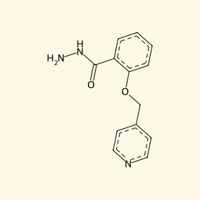 NNC(=O)c1ccccc1OCc1ccncc1